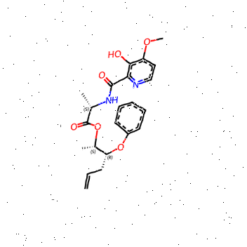 C=CC[C@@H](Oc1ccccc1)[C@H](C)OC(=O)[C@H](C)NC(=O)c1nccc(OC)c1O